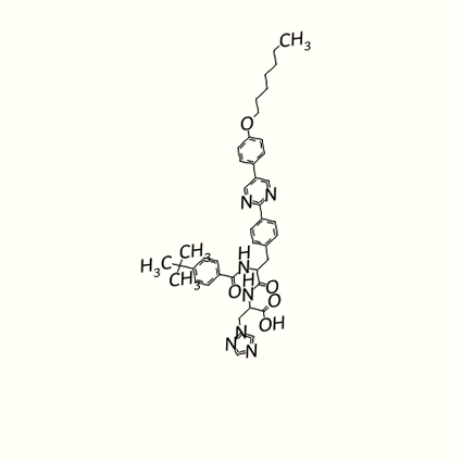 CCCCCCCOc1ccc(-c2cnc(-c3ccc(CC(NC(=O)c4ccc(C(C)(C)C)cc4)C(=O)NC(Cn4cncn4)C(=O)O)cc3)nc2)cc1